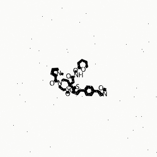 Cn1cccc1C(=O)N1CCC(CC(=O)NOC2CCCCO2)(c2ccc(-c3ccc(-c4cnco4)cc3)s2)S(=O)(=O)CC1